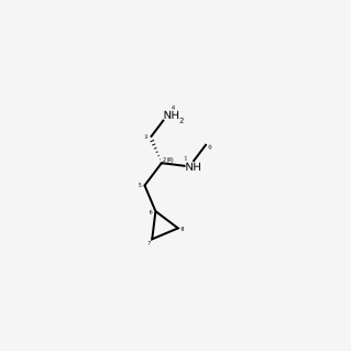 CN[C@@H](CN)CC1CC1